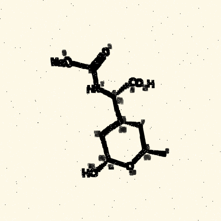 COC(=O)N[C@H](C(=O)O)[C@@H]1C[C@@H](C)O[C@H](O)C1